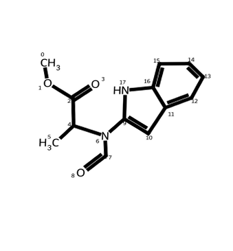 COC(=O)C(C)N([C]=O)c1cc2ccccc2[nH]1